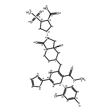 COC(=O)C1=C(CN2CCN3C(=O)N([C@H]4C[C@H](C(=O)O)N(S(C)(=O)=O)C4)C[C@@H]3C2)NC(c2nccs2)=N[C@H]1c1ccc(F)cc1Cl